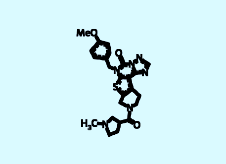 COc1ccc(Cn2c(=O)n3ncnc3c3c4c(sc32)CN(C(=O)C2CCN(C)C2)CC4)cc1